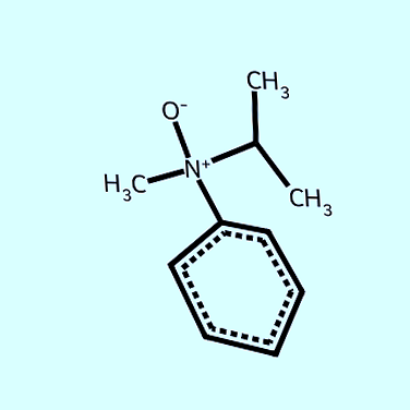 CC(C)[N+](C)([O-])c1ccccc1